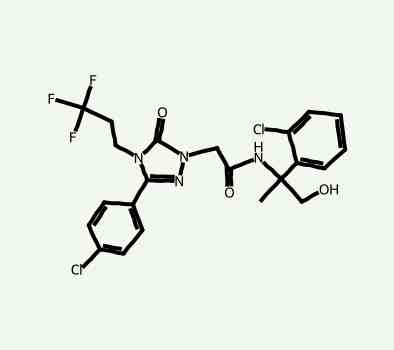 CC(CO)(NC(=O)Cn1nc(-c2ccc(Cl)cc2)n(CCC(F)(F)F)c1=O)c1ccccc1Cl